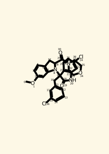 COc1ccc2c(c1)N(C1(Cc3cccc(Cl)c3)C(=O)Nc3cc(Cl)ccc31)C(C(=O)N1CCOCC1)C2